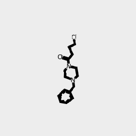 O=C(CCCCl)N1CCN(Cc2ccccc2)CC1